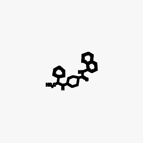 O=C(Nc1cccc2cccnc12)C1CCC(NC(C(=O)O)c2ccccc2)CC1